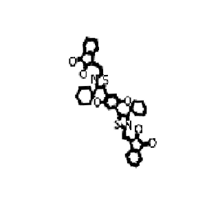 O=C1C(=O)c2ccccc2/C1=C/c1nc2c(s1)-c1cc3c(cc1OC21CCCCC1)-c1sc(/C=C2\C(=O)C(=O)c4ccccc42)nc1C1(CCCCC1)O3